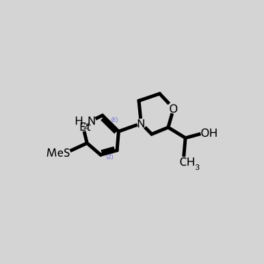 CCC(/C=C\C(=C/N)N1CCOC(C(C)O)C1)SC